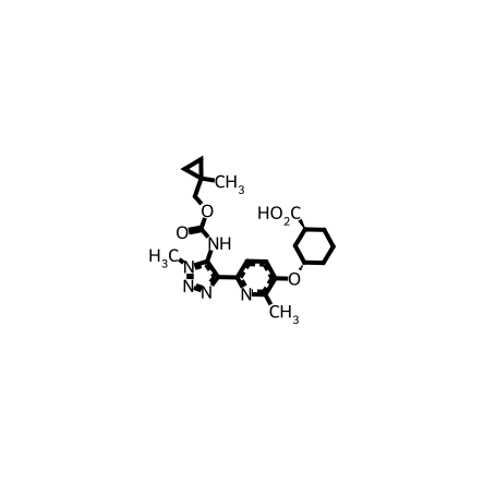 Cc1nc(-c2nnn(C)c2NC(=O)OCC2(C)CC2)ccc1O[C@H]1CCC[C@H](C(=O)O)C1